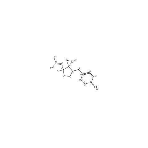 CC(Cl)=CC1(C)CCC(Cc2ccc(Cl)cc2)C12CO2